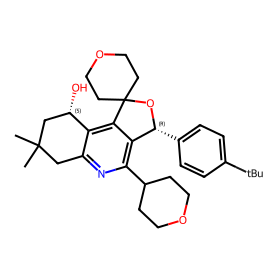 CC1(C)Cc2nc(C3CCOCC3)c3c(c2[C@@H](O)C1)C1(CCOCC1)O[C@@H]3c1ccc(C(C)(C)C)cc1